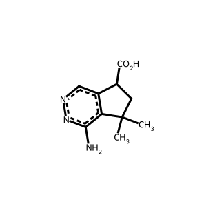 CC1(C)CC(C(=O)O)c2cnnc(N)c21